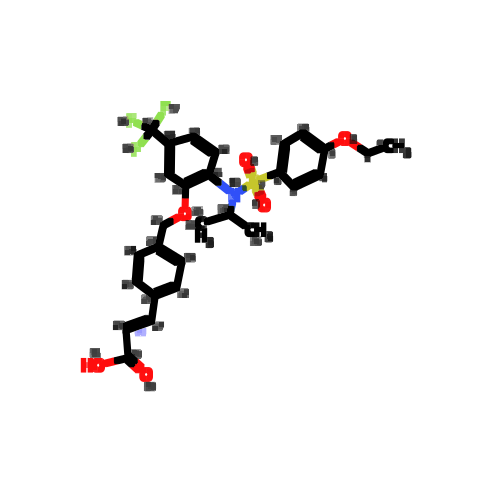 CCOc1ccc(S(=O)(=O)N(c2ccc(C(F)(F)F)cc2OCc2ccc(/C=C/C(=O)O)cc2)C(C)C)cc1